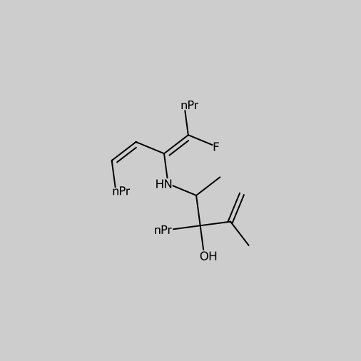 C=C(C)C(O)(CCC)C(C)NC(/C=C\CCC)=C(\F)CCC